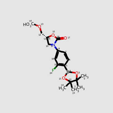 CC1(C)OB(c2ccc(N3C[C@H](COC(=O)O)OC3=O)cc2F)OC1(C)C